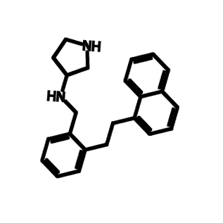 c1ccc(CNC2CCNC2)c(CCc2cccc3ccccc23)c1